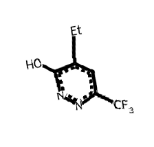 CCc1cc(C(F)(F)F)nnc1O